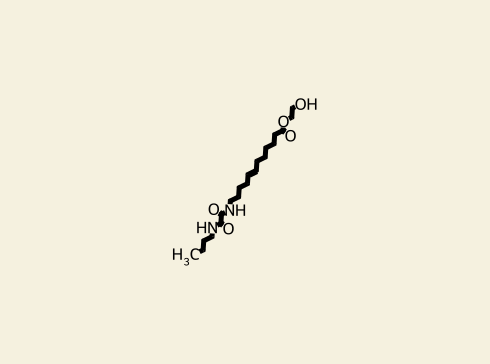 CCCCNC(=O)C(=O)NCCCC/C=C/CCCCCC(=O)OCCO